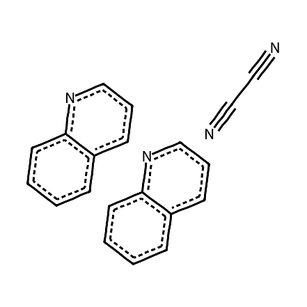 N#CC#N.c1ccc2ncccc2c1.c1ccc2ncccc2c1